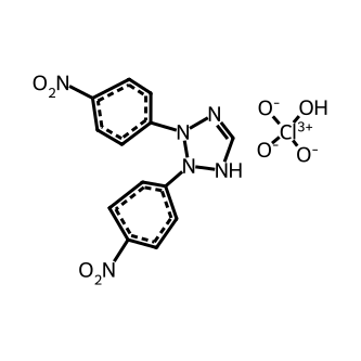 O=[N+]([O-])c1ccc(N2N=CNN2c2ccc([N+](=O)[O-])cc2)cc1.[O-][Cl+3]([O-])([O-])O